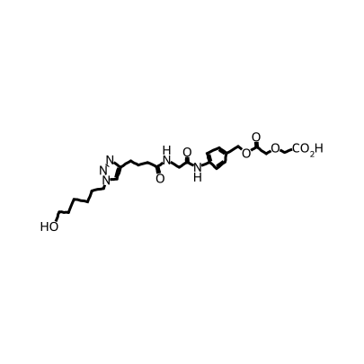 O=C(O)COCC(=O)OCc1ccc(NC(=O)CNC(=O)CCCc2cn(CCCCCCO)nn2)cc1